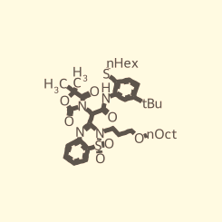 CCCCCCCCOCCCN1C(C(C(=O)Nc2cc(C(C)(C)C)ccc2SCCCCCC)N2C(=O)OC(C)(C)C2=O)=Nc2ccccc2S1(=O)=O